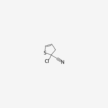 N#CC1(Cl)CC=CS1